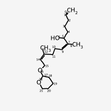 C=CCCCC(O)C(C)=CCCC(C)=CCOC1CCCCO1